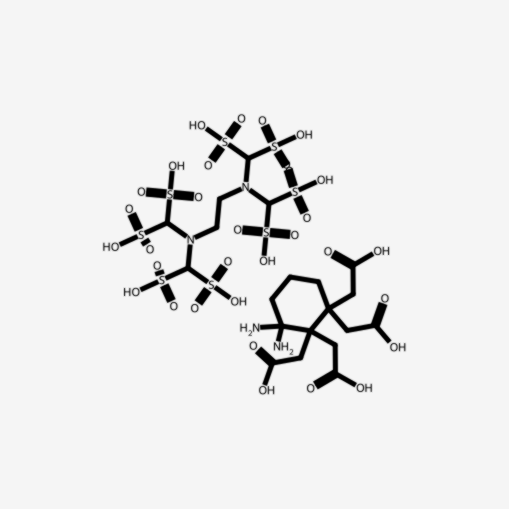 NC1(N)CCCC(CC(=O)O)(CC(=O)O)C1(CC(=O)O)CC(=O)O.O=S(=O)(O)C(N(CCN(C(S(=O)(=O)O)S(=O)(=O)O)C(S(=O)(=O)O)S(=O)(=O)O)C(S(=O)(=O)O)S(=O)(=O)O)S(=O)(=O)O